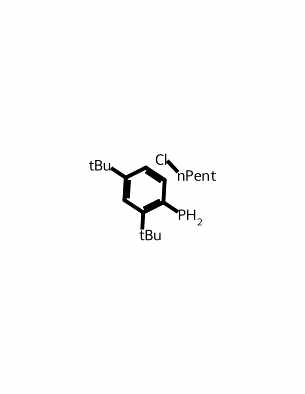 CC(C)(C)c1ccc(P)c(C(C)(C)C)c1.CCCCCCl